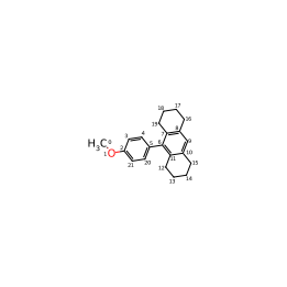 COc1ccc(-c2c3c(cc4c2CCCC4)CCCC3)cc1